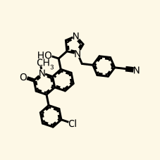 Cn1c(=O)cc(-c2cccc(Cl)c2)c2cccc(C(O)c3cncn3Cc3ccc(C#N)cc3)c21